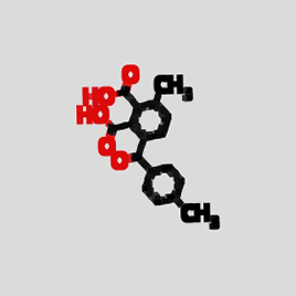 Cc1ccc(C(=O)c2ccc(C)c(C(=O)O)c2C(=O)O)cc1